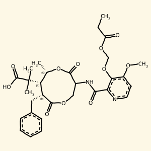 CCC(=O)OCOc1c(OC)ccnc1C(=O)NC1COC(=O)[C@H](Cc2ccccc2)[C@H](C(C)(C)C(=O)O)[C@H](C)OC1=O